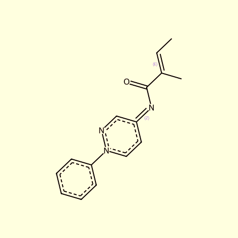 C/C=C(\C)C(=O)/N=c1/ccn(-c2ccccc2)nc1